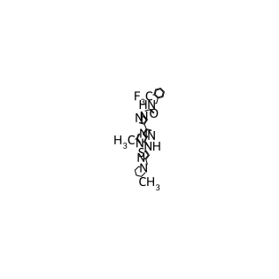 Cc1cn2c(-c3cnn(CC(=O)NCc4ccccc4C(F)(F)F)c3)cnc2c(Nc2cc(CN3CCCC(C)C3)ns2)n1